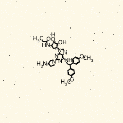 CCC(=O)N[C@H]1C[C@@H](n2cnc3c(NCC(c4ccc(OC)cc4)c4ccc(OC)cc4)nc(N4CC[C@@H](N)C4)nc32)[C@H](O)[C@@H]1O